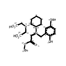 COc1ccc(O)c(CN(CC(=O)OC(C)(C)C)[C@@H]2CCCC[C@H]2N(CC(=O)O)CC(=O)O)c1